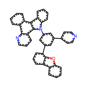 c1ccc2c(c1)oc1c(-c3cc(-c4ccncc4)cc(-n4c5ccccc5c5c6ccccc6c6ncccc6c54)c3)cccc12